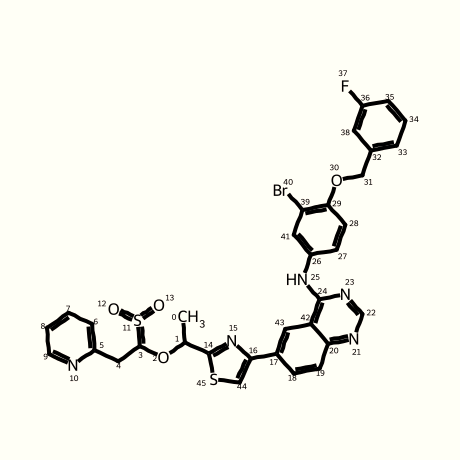 CC(OC(Cc1ccccn1)=S(=O)=O)c1nc(-c2ccc3ncnc(Nc4ccc(OCc5cccc(F)c5)c(Br)c4)c3c2)cs1